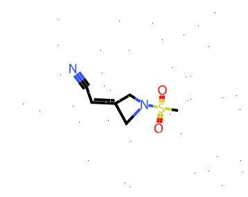 CS(=O)(=O)N1CC(=CC#N)C1